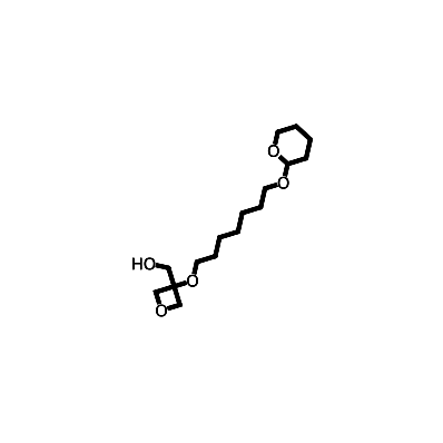 OCC1(OCCCCCCCOC2CCCCO2)COC1